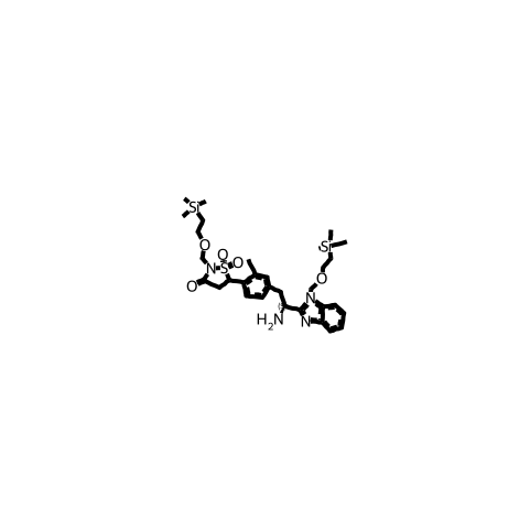 Cc1cc(C[C@H](N)c2nc3ccccc3n2COCC[Si](C)(C)C)ccc1C1CC(=O)N(COCC[Si](C)(C)C)S1(=O)=O